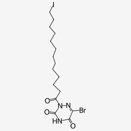 O=C(CCCCCCCCCCCCI)n1nc(Br)c(=O)[nH]c1=O